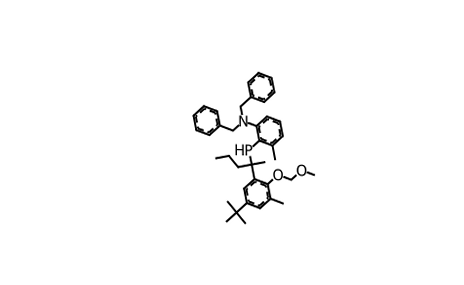 CCCC(C)(Pc1c(C)cccc1N(Cc1ccccc1)Cc1ccccc1)c1cc(C(C)(C)C)cc(C)c1OCOC